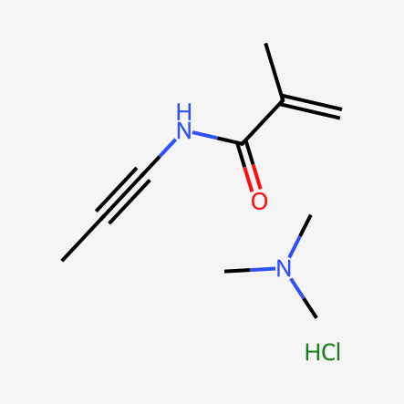 C=C(C)C(=O)NC#CC.CN(C)C.Cl